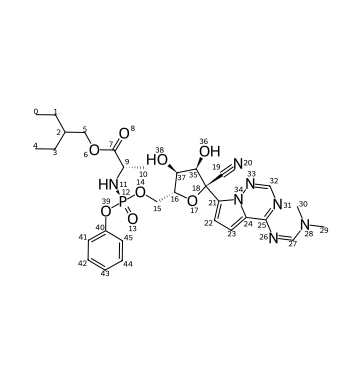 CCC(CC)COC(=O)[C@H](C)N[P@](=O)(OC[C@H]1O[C@@](C#N)(c2ccc3c(/N=C\N(C)C)ncnn23)[C@H](O)[C@@H]1O)Oc1ccccc1